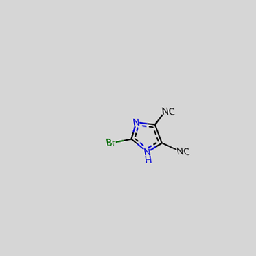 [C-]#[N+]c1nc(Br)[nH]c1[N+]#[C-]